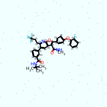 CNC(=O)c1c(-c2ccc(Oc3ccccc3F)cc2)oc2nc(CCC(F)(F)F)c(-c3cccc(C(=O)NC(C)(C)C)c3)cc12